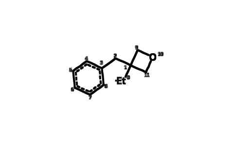 C[CH]C1(Cc2ccccc2)COC1